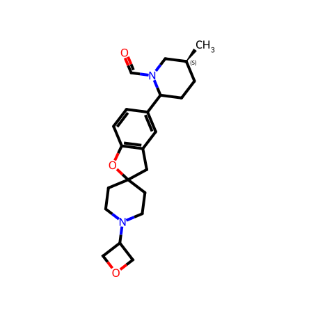 C[C@H]1CCC(c2ccc3c(c2)CC2(CCN(C4COC4)CC2)O3)N(C=O)C1